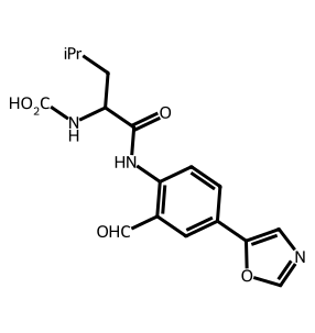 CC(C)CC(NC(=O)O)C(=O)Nc1ccc(-c2cnco2)cc1C=O